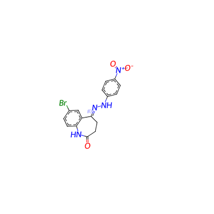 O=C1CC/C(=N\Nc2ccc([N+](=O)[O-])cc2)c2cc(Br)ccc2N1